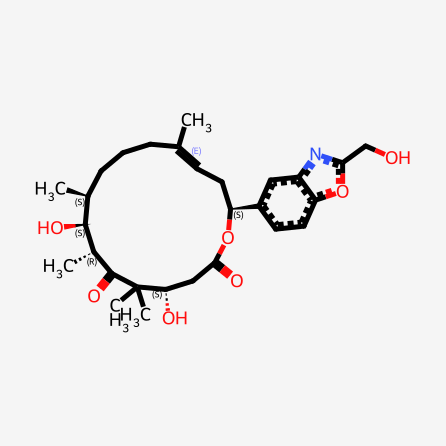 C/C1=C\C[C@@H](c2ccc3oc(CO)nc3c2)OC(=O)C[C@H](O)C(C)(C)C(=O)[C@H](C)[C@@H](O)[C@@H](C)CCC1